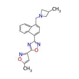 Cc1cc(-c2nc(-c3ccc(CN4CC(C)C4)c4ccccc34)no2)no1